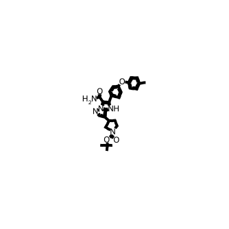 Cc1ccc(Oc2ccc(-c3[nH]c4c(C5CCN(C(=O)OC(C)(C)C)C5)cnn4c3C(N)=O)cc2)cc1